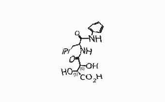 CC(C)CC(NC(=O)[C@@H](O)[C@H](O)C(=O)O)C(=O)Nc1ccccc1